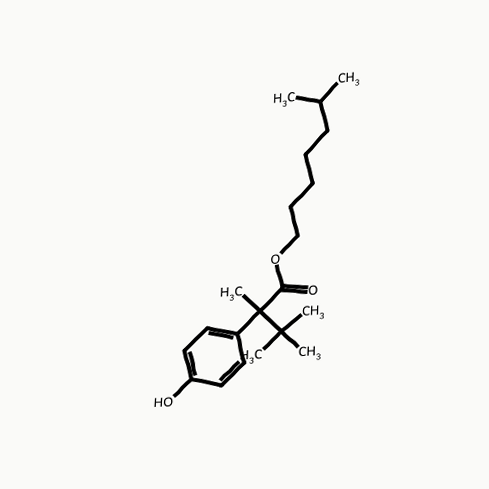 CC(C)CCCCCOC(=O)C(C)(c1ccc(O)cc1)C(C)(C)C